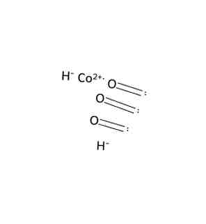 [C]=O.[C]=O.[C]=O.[Co+2].[H-].[H-]